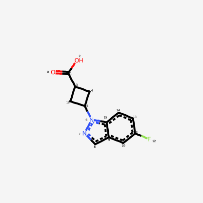 O=C(O)C1CC(n2ncc3cc(F)ccc32)C1